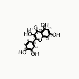 O=c1c(O)c(-c2ccc(O)c(O)c2)oc2cc(O)cc(O)c12.[H+]